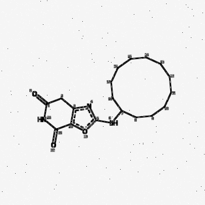 O=C1Cc2nc(BC3CCCCCCCCCCC3)oc2C(=O)N1